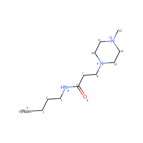 CCCCCCCCCCCCNC(=O)CCN1CCN(C)CC1